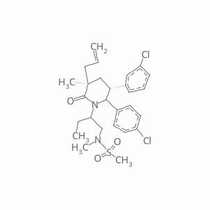 C=CC[C@@]1(C)C[C@H](c2cccc(Cl)c2)C(c2ccc(Cl)cc2)N(C(CC)CN(C)S(C)(=O)=O)C1=O